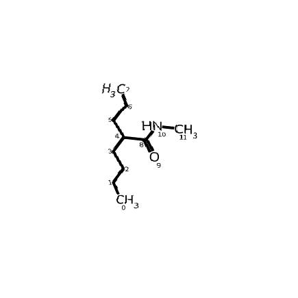 CCCCC(CCC)C(=O)NC